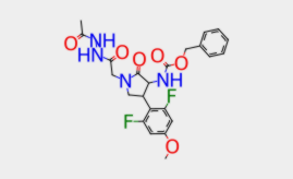 COc1cc(F)c(C2CN(CC(=O)NNC(C)=O)C(=O)C2NC(=O)OCc2ccccc2)c(F)c1